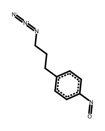 [N-]=[N+]=NCCCc1ccc(N=O)cc1